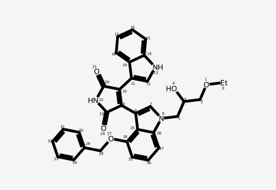 CCOCC(O)Cn1cc(C2=C(c3c[nH]c4ccccc34)C(=O)NC2=O)c2c(OCc3ccccc3)cccc21